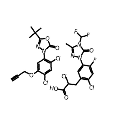 C#CCOc1cc(-n2nc(C(C)(C)C)oc2=O)c(Cl)cc1Cl.Cc1nn(-c2cc(CC(Cl)C(=O)O)c(Cl)cc2F)c(=O)n1C(F)F